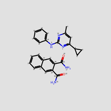 Cc1cc(C2CC2)nc(Nc2ccccc2)n1.NC(=O)c1cc2ccccc2cc1C(N)=O